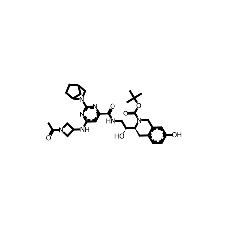 CC(=O)N1CC(Nc2cc(C(=O)NC[C@@H](O)[C@@H]3Cc4ccc(O)cc4CN3C(=O)OC(C)(C)C)nc(N3CC4CCC3C4)n2)C1